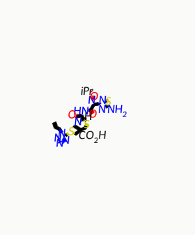 C=CCn1nnnc1SCC1(C(=O)O)CS[C@@H]2C(NC(=O)C(=NOC(C)C)c3nsc(N)n3)C(=O)N2C1